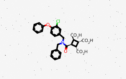 O=C(O)[C@H]1[C@H](C(=O)O)[C@H](C(=O)O)[C@H]1C(=O)N(Cc1ccccc1)Cc1ccc(Oc2ccccc2)c(Cl)c1